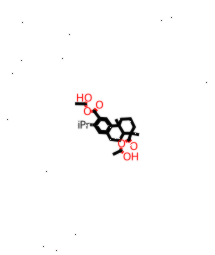 CC(O)OC(=O)c1cc2c(cc1C(C)C)CCC1C(C)(C(=O)OC(C)O)CCCC21C